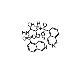 CC(NS(=O)(=O)c1cccc2cnccc12)C(C)NS(=O)(=O)c1cccc2cnccc12